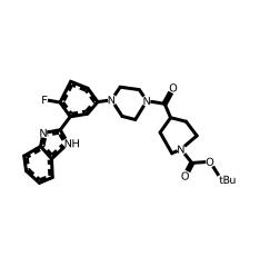 CC(C)(C)OC(=O)N1CCC(C(=O)N2CCN(c3ccc(F)c(-c4nc5ccccc5[nH]4)c3)CC2)CC1